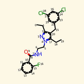 CCc1nn(CCNC(=O)c2ccccc2F)c(CC)c1Cc1cc(Cl)cc(Cl)c1